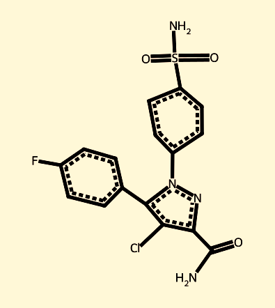 NC(=O)c1nn(-c2ccc(S(N)(=O)=O)cc2)c(-c2ccc(F)cc2)c1Cl